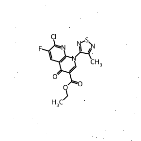 CCOC(=O)c1cn(-c2nsnc2C)c2nc(Cl)c(F)cc2c1=O